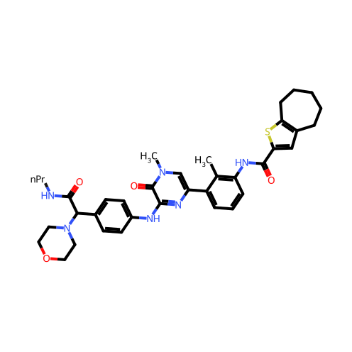 CCCNC(=O)C(c1ccc(Nc2nc(-c3cccc(NC(=O)c4cc5c(s4)CCCCC5)c3C)cn(C)c2=O)cc1)N1CCOCC1